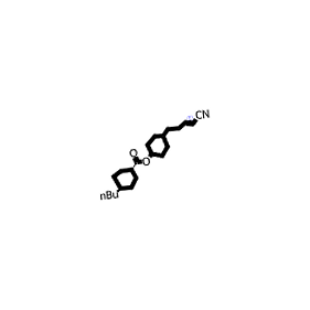 CCCC[C@H]1CC[C@H](C(=O)OC2CCC(CC/C=C/C#N)CC2)CC1